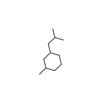 C[C](C)CC1CCCC(C)C1